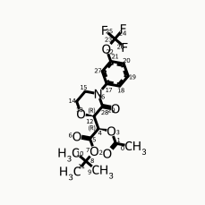 CC(=O)O[C@@H](C(=O)OC(C)(C)C)[C@H]1OCCN(c2cccc(OC(F)(F)F)c2)C1=O